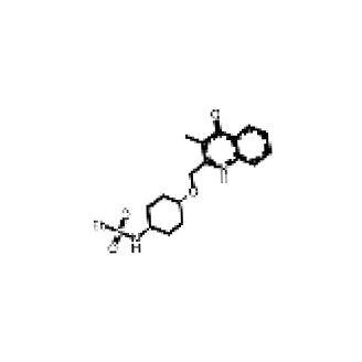 CCS(=O)(=O)N[C@H]1CC[C@H](OCc2[nH]c3ccccc3c(=O)c2C)CC1